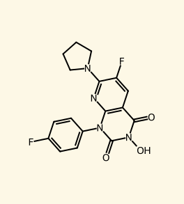 O=c1c2cc(F)c(N3CCCC3)nc2n(-c2ccc(F)cc2)c(=O)n1O